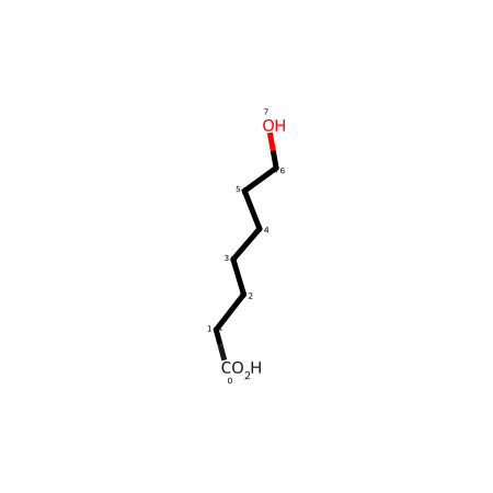 O=C(O)[CH]CCCC[CH]O